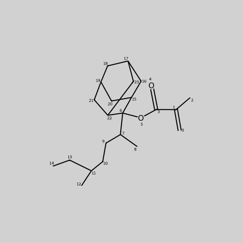 C=C(C)C(=O)OC1(C(C)CCC(C)CC)C2CC3CC(C2)CC1C3